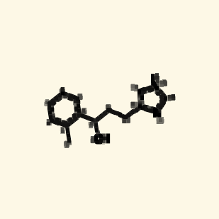 Cc1ccccc1C(O)CCc1c[nH]cn1